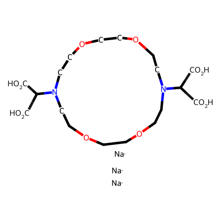 O=C(O)C(C(=O)O)N1CCOCCOCCN(C(C(=O)O)C(=O)O)CCOCCOCC1.[Na].[Na].[Na]